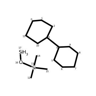 C1CCC(C2CCCCC2)CC1.C[Si](C)(C)O[SiH3]